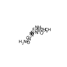 C#Cc1cccc(-c2nc(N)c(F)c(-c3cn(Cc4cccc(C(N)=O)n4)nn3)n2)c1C